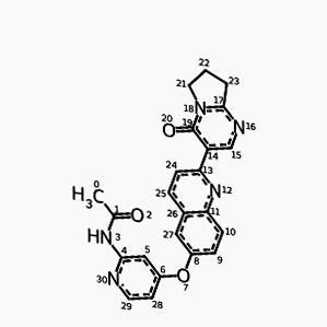 CC(=O)Nc1cc(Oc2ccc3nc(-c4cnc5n(c4=O)CCC5)ccc3c2)ccn1